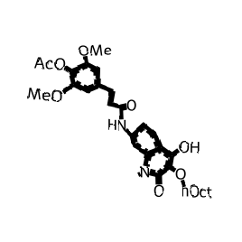 CCCCCCCCOc1c(O)c2ccc(NC(=O)C=Cc3cc(OC)c(OC(C)=O)c(OC)c3)cc2n(C)c1=O